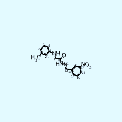 Cc1cccc(NCC(=O)NN=Cc2cccc([N+](=O)[O-])c2)c1